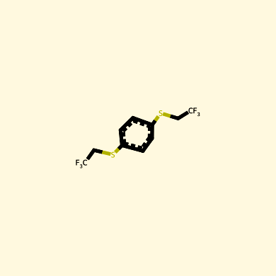 FC(F)(F)CSc1ccc(SCC(F)(F)F)cc1